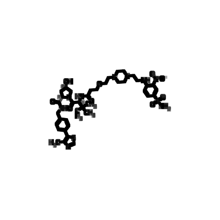 Cc1ncsc1-c1ccc(CNC(=O)[C@@H]2C[C@@H](O)CN2C(=O)[C@@H](NC(=O)CCOCCN2CCN(CCNc3ccc(S(N)(=O)=O)cc3[N+](=O)[O-])CC2)C(C)(C)C)cc1